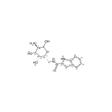 N[C@H]1C(O)O[C@H](CNC(=O)c2cc3ccccc3[nH]2)[C@H](O)C1O